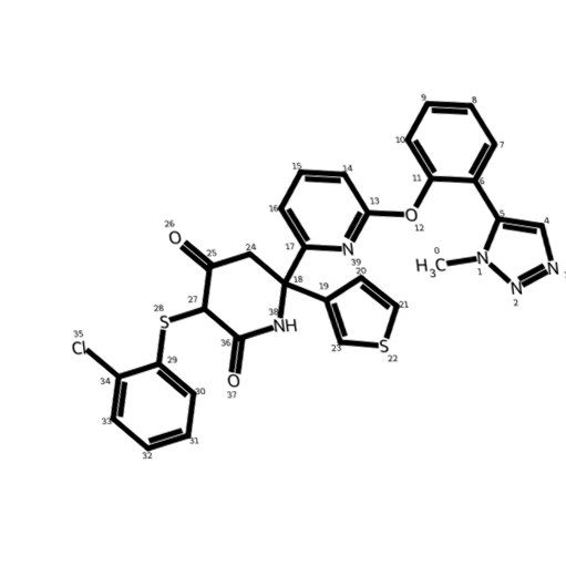 Cn1nncc1-c1ccccc1Oc1cccc(C2(c3ccsc3)CC(=O)C(Sc3ccccc3Cl)C(=O)N2)n1